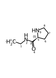 [CH2]CNC(=O)[C@@H]1CCCN1